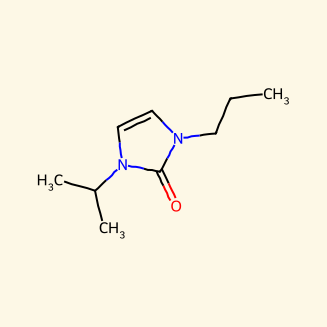 CCCn1ccn(C(C)C)c1=O